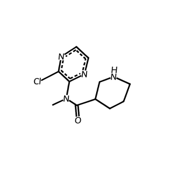 CN(C(=O)C1CCCNC1)c1nccnc1Cl